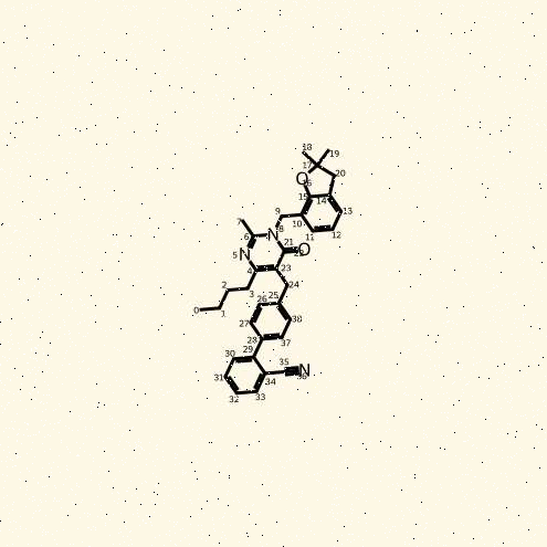 CCCCc1nc(C)n(Cc2cccc3c2OC(C)(C)C3)c(=O)c1Cc1ccc(-c2ccccc2C#N)cc1